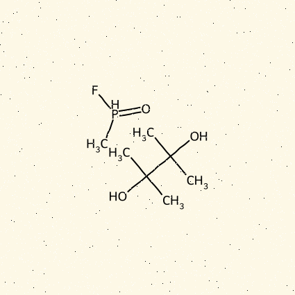 CC(C)(O)C(C)(C)O.C[PH](=O)F